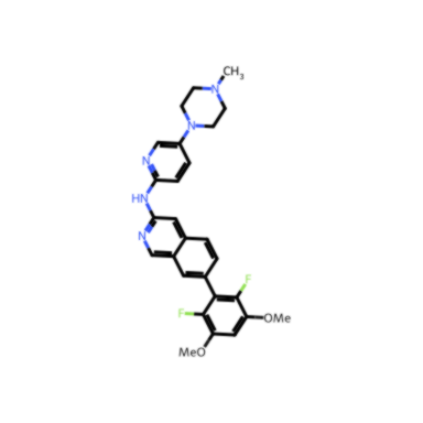 COc1cc(OC)c(F)c(-c2ccc3cc(Nc4ccc(N5CCN(C)CC5)cn4)ncc3c2)c1F